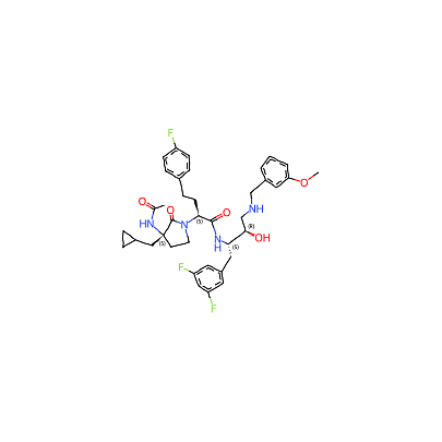 COc1cccc(CNC[C@@H](O)[C@H](Cc2cc(F)cc(F)c2)NC(=O)[C@H](CCc2ccc(F)cc2)N2CC[C@](CC3CC3)(NC(C)=O)C2=O)c1